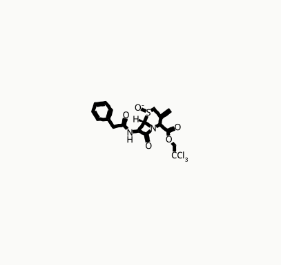 C=C1C[S+]([O-])[C@H]2C(NC(=O)Cc3ccccc3)C(=O)N2C1C(=O)OCC(Cl)(Cl)Cl